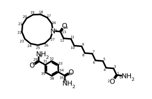 NC(=O)CCCCCCCCCCC(=O)N1CCCCCCCCCCCC1.NC(=O)c1ccc(C(N)=O)cc1